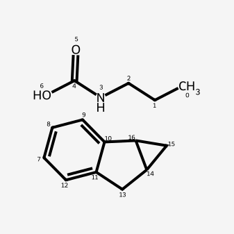 CCCNC(=O)O.c1ccc2c(c1)CC1CC21